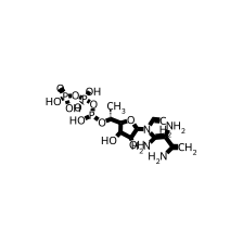 C=CN(/C(N)=C(\N)C(=C)N)C1OC([C@@H](C)OP(O)OP(=O)(O)OP(=O)(O)O)C(O)C1O